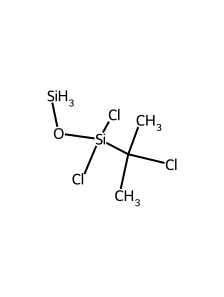 CC(C)(Cl)[Si](Cl)(Cl)O[SiH3]